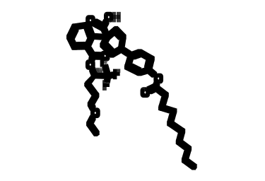 CCCCCCCCCC(=O)Oc1ccc(C2C=CC(C(=O)O)(c3ccccc3C(=O)O[C@H](CCCOCC)C(F)(F)F)C=C2)cc1